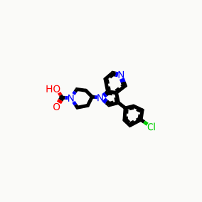 O=C(O)N1CCC(n2cc(-c3ccc(Cl)cc3)c3cnccc32)CC1